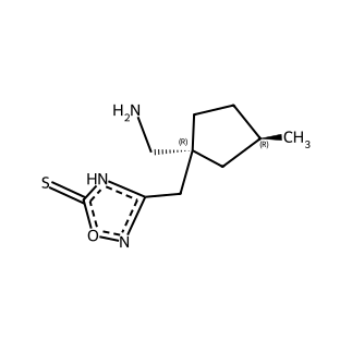 C[C@@H]1CC[C@](CN)(Cc2noc(=S)[nH]2)C1